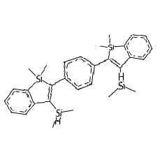 C[SiH](C)C1=C(c2ccc(C3=C([SiH](C)C)c4ccccc4[Si]3(C)C)cc2)[Si](C)(C)c2ccccc21